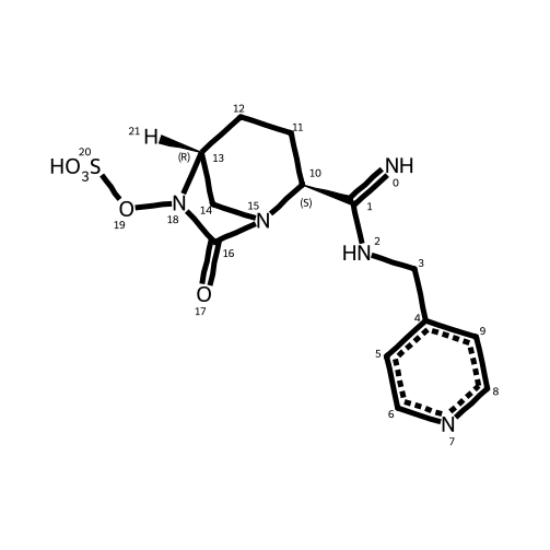 N=C(NCc1ccncc1)[C@@H]1CC[C@@H]2CN1C(=O)N2OS(=O)(=O)O